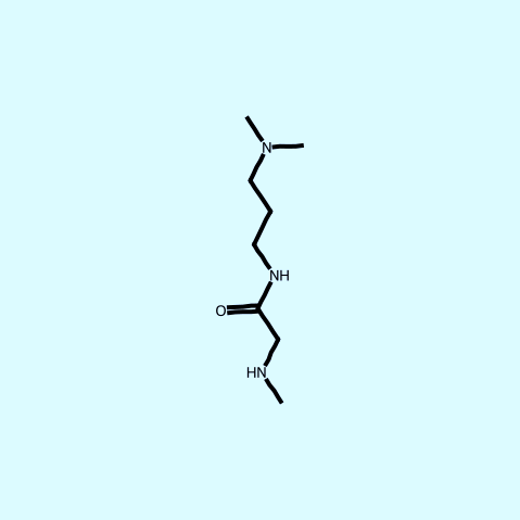 CNCC(=O)NCCCN(C)C